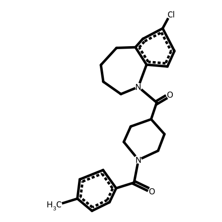 Cc1ccc(C(=O)N2CCC(C(=O)N3CCCCc4cc(Cl)ccc43)CC2)cc1